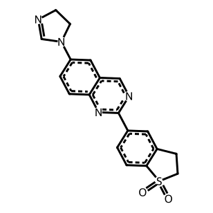 O=S1(=O)CCc2cc(-c3ncc4cc(N5C=NCC5)ccc4n3)ccc21